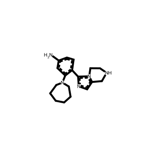 Nc1ccc(-c2ncc3n2CCNC3)c(N2CCCCCC2)c1